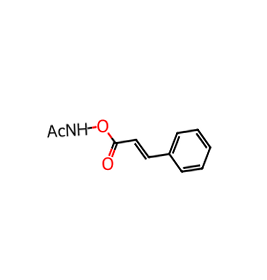 CC(=O)NOC(=O)/C=C/c1ccccc1